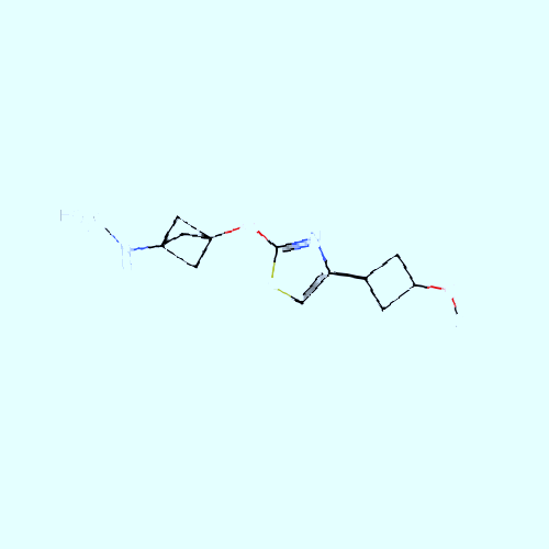 O=C(O)NC12CC(Oc3nc(C4CC(OC(F)(F)F)C4)cs3)(C1)C2